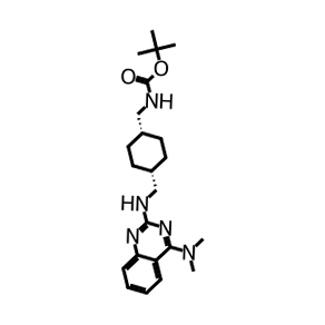 CN(C)c1nc(NC[C@H]2CC[C@@H](CNC(=O)OC(C)(C)C)CC2)nc2ccccc12